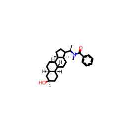 C[C@H](C1CC[C@@]2(C)[C@@H]3CC[C@@H]4C[C@](C)(O)CC[C@@H]4[C@H]3CC[C@]12C)N(C)C(=O)c1ccccc1